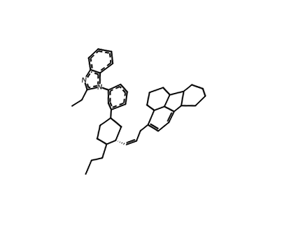 CCCC1CCC(c2cccc(-n3c(CC)nc4ccccc43)c2)C[C@@H]1/C=C\CC1=CC=C2C3CCCCC3C3CCCC1C23